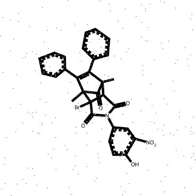 CC12C(=O)C(C)(C(c3ccccc3)=C1c1ccccc1)C1(Br)C(=O)N(c3ccc(O)c([N+](=O)[O-])c3)C(=O)C21